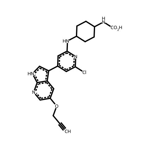 C#CCOc1cnc2[nH]cc(-c3cc(Cl)nc(NC4CCC(NC(=O)O)CC4)c3)c2c1